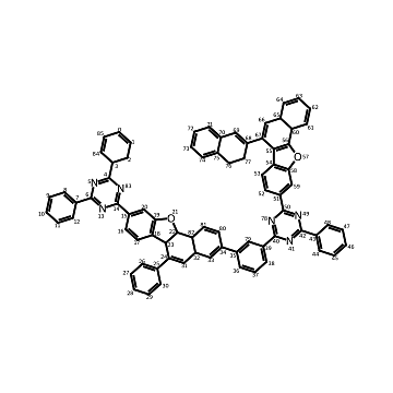 C1=CCC(c2nc(-c3ccccc3)nc(-c3ccc4c(c3)OC3C4C(c4ccccc4)=CC4C=C(c5cccc(-c6nc(-c7ccccc7)nc(-c7ccc8c9c(oc8c7)C7C=CC=CC7C=C9C7=Cc8ccccc8CC7)n6)c5)C=CC43)n2)C=C1